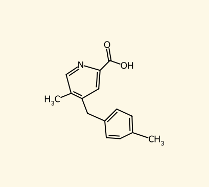 Cc1ccc(Cc2cc(C(=O)O)ncc2C)cc1